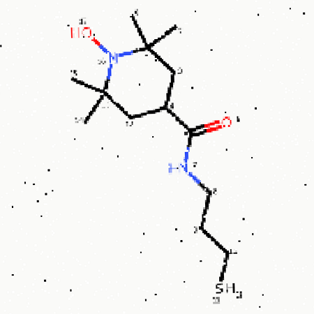 CC1(C)CC(C(=O)NCCC[SiH3])CC(C)(C)N1O